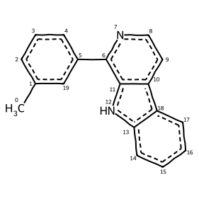 Cc1cccc(-c2nccc3c2[nH]c2ccccc23)c1